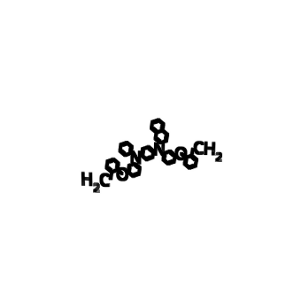 C=Cc1ccccc1Oc1cccc(N(c2ccccc2)c2ccc(N(c3cccc(Oc4ccccc4C=C)c3)c3ccc4ccccc4c3)cc2)c1